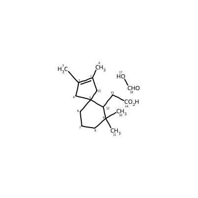 CC1=C(C)CC2(CCCC(C)(C)C2CC(=O)O)C1.O=CO